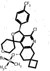 CC(C)(C)[Si](C)(C)O[C@H]1CC2(CCC2)Cc2nc(Cl)c3c(c21)C1(CCOCC1)O[C@H]3c1ccc(C(F)(F)F)cc1